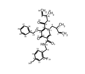 C=CC(C)Cn1cc(C(=O)NCc2ccc(F)cc2F)c(=O)c(OCc2ccccc2)c1C(=O)C[C@@H](C)C=C